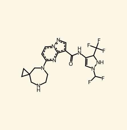 O=C(NC1=CN(C(F)F)NC1C(F)(F)F)c1cnn2ccc(N3CCNCC4(CC4)C3)nc12